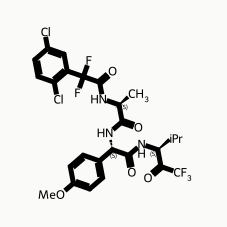 COc1ccc([C@H](NC(=O)[C@H](C)NC(=O)C(F)(F)c2cc(Cl)ccc2Cl)C(=O)N[C@H](C(=O)C(F)(F)F)C(C)C)cc1